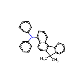 CC1(C)c2ccccc2-c2c1ccc1c(N(c3ccccc3)c3ccccc3)cccc21